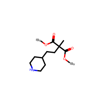 CC(C)(C)OC(=O)C(C)(CCC1CCNCC1)C(=O)OC(C)(C)C